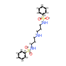 O=S(=O)(NCCCNCCCNS(=O)(=O)c1ccccc1)c1ccccc1